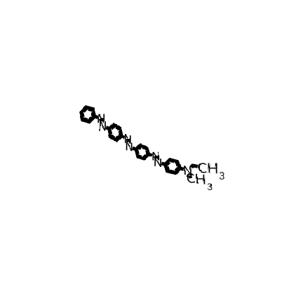 CCN(C)c1ccc(N=Nc2ccc(N=Nc3ccc(N=Nc4ccccc4)cc3)cc2)cc1